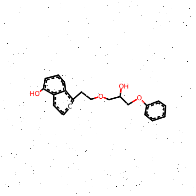 Oc1cccc2c(CCOCC(O)COc3ccccc3)cccc12